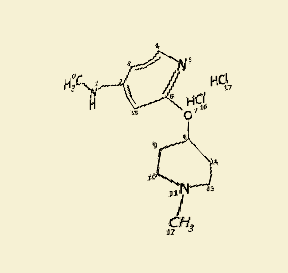 CNc1ccnc(OC2CCN(C)CC2)c1.Cl.Cl